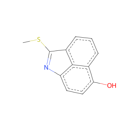 CSC1=Nc2ccc(O)c3cccc1c23